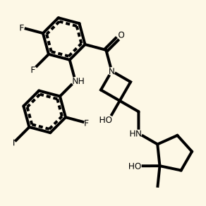 CC1(O)CCCC1NCC1(O)CN(C(=O)c2ccc(F)c(F)c2Nc2ccc(I)cc2F)C1